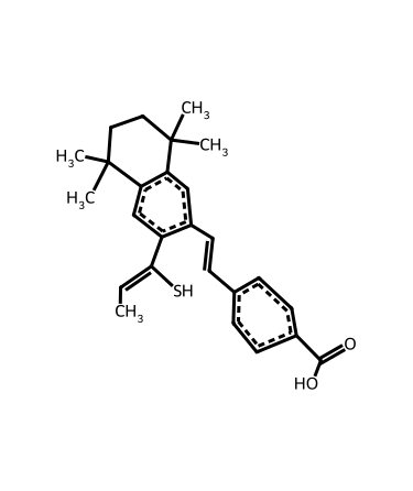 CC=C(S)c1cc2c(cc1C=Cc1ccc(C(=O)O)cc1)C(C)(C)CCC2(C)C